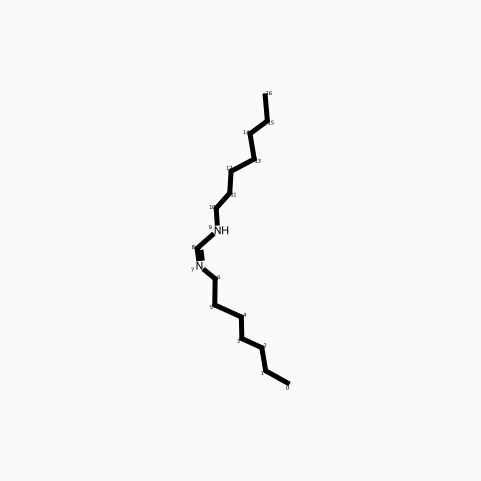 CCCCCCC/N=[C]\NCCCCCCC